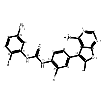 Cc1sc2ncnc(N)c2c1-c1ccc(NC(=O)Nc2cc(C(F)(F)F)ccc2F)c(F)c1